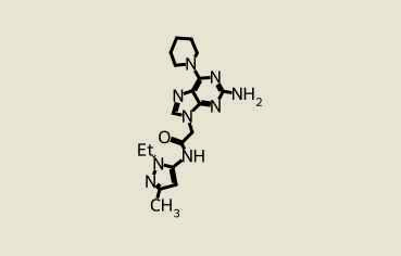 CCn1nc(C)cc1NC(=O)Cn1cnc2c(N3CCCCC3)nc(N)nc21